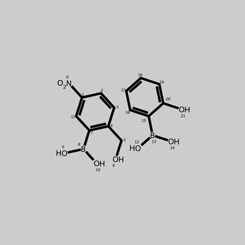 O=[N+]([O-])c1ccc(CO)c(B(O)O)c1.OB(O)c1ccccc1O